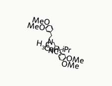 COc1ccc(CCN(C)CCCC(C#N)(c2ccc(OC)c(OC)c2)C(C)C)cc1OC.[CaH2]